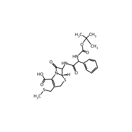 CSCC1=C(C(=O)O)N2C(=O)C(NC(=O)C(NC(=O)OC(C)(C)C)c3ccccc3)[C@@H]2SC1